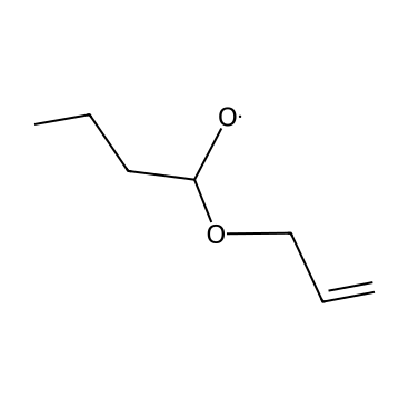 C=CCOC([O])CCC